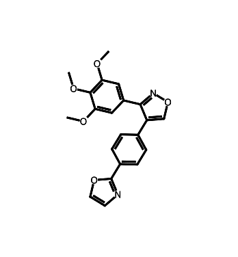 COc1cc(-c2nocc2-c2ccc(-c3ncco3)cc2)cc(OC)c1OC